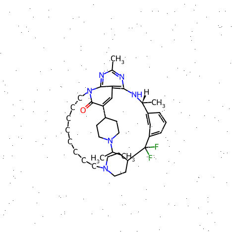 Cc1nc2c3cc(C4CCN(C(C)C)CC4)c(=O)n(c3n1)CCCCCCCCN1CCC(CC1)C(F)(F)c1cccc(c1)[C@@H](C)N2